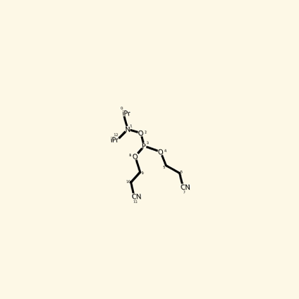 CC(C)N(OP(OCCC#N)OCCC#N)C(C)C